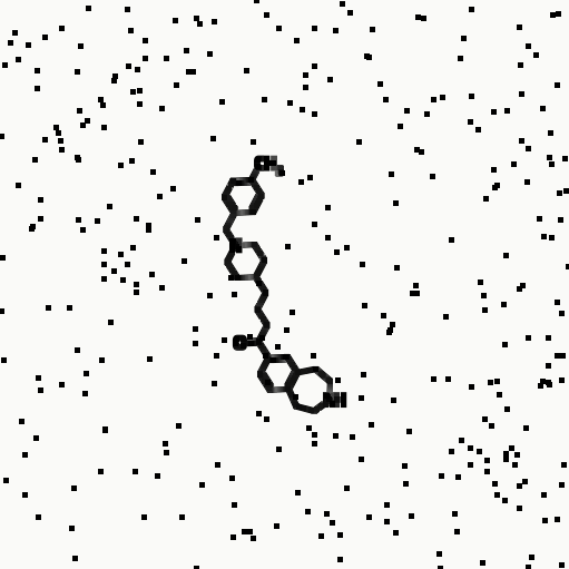 Cc1ccc(CN2CCC(CCCC(=O)c3ccc4c(c3)CCNCC4)CC2)cc1